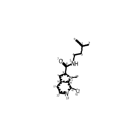 C=C(C)CCNC(=O)c1cc2ccnc(Cl)c2n1C